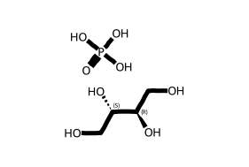 O=P(O)(O)O.OC[C@@H](O)[C@@H](O)CO